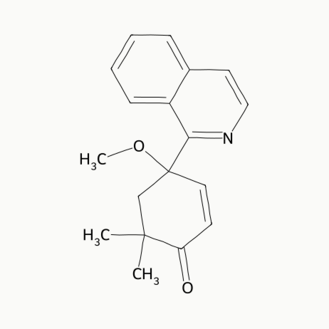 COC1(c2nccc3ccccc23)C=CC(=O)C(C)(C)C1